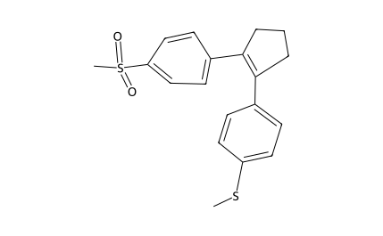 CSc1ccc(C2=C(c3ccc(S(C)(=O)=O)cc3)CCC2)cc1